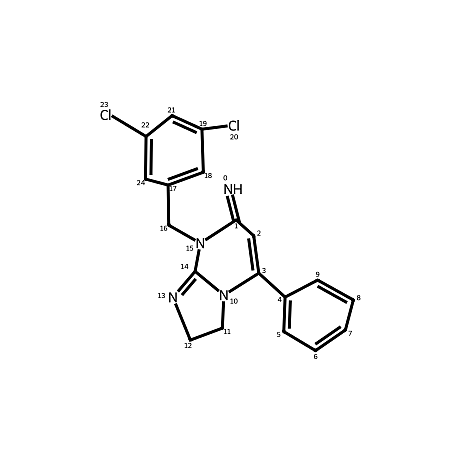 N=C1C=C(c2ccccc2)N2CCN=C2N1Cc1cc(Cl)cc(Cl)c1